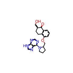 O=C1C(=CO)CCc2c(OCC3CCCN3c3ncnc4[nH]cnc34)cccc21